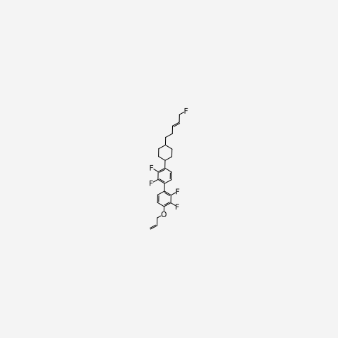 C=CCOc1ccc(-c2ccc(C3CCC(CCC=CCF)CC3)c(F)c2F)c(F)c1F